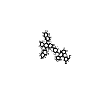 Fc1cc(F)cc(-c2c3ccccc3c(-c3ccc(-c4ccc5c(-c6ccc7ccccc7c6)c6ccccc6c(-c6ccc7ccccc7c6)c5c4)cc3)c3ccccc23)c1